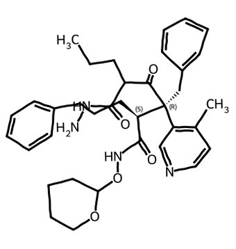 CCCC(C(=O)NN)C(=O)[C@@](Cc1ccccc1)(c1cnccc1C)[C@H](CCCc1ccccc1)C(=O)NOC1CCCCO1